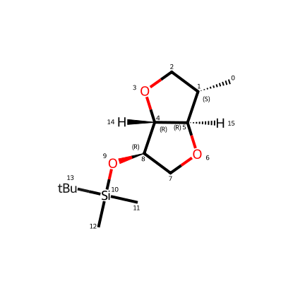 C[C@H]1CO[C@@H]2[C@@H]1OC[C@H]2O[Si](C)(C)C(C)(C)C